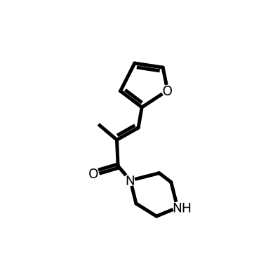 CC(=Cc1ccco1)C(=O)N1CCNCC1